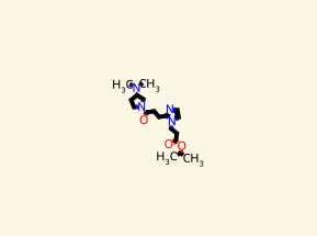 CC(C)OC(=O)CCn1ccnc1CCC(=O)N1CC[C@H](N(C)C)C1